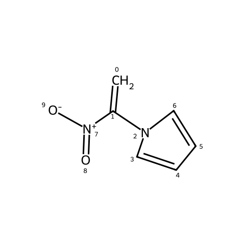 C=C(n1cccc1)[N+](=O)[O-]